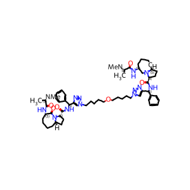 CN[C@@H](C)C(=O)N[C@H]1CCCC[C@H]2CC[C@@H](C(=O)N[C@@H](c3ccccc3)c3cn(CCCCCOCCCCCn4cc([C@@H](NC(=O)[C@@H]5CC[C@@H]6CCCC[C@H](NC(=O)[C@H](C)NC)C(=O)N65)c5ccccc5)nn4)nn3)N2C1